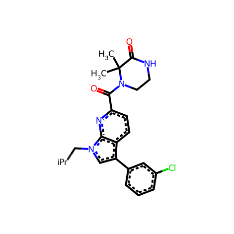 CC(C)Cn1cc(-c2cccc(Cl)c2)c2ccc(C(=O)N3CCNC(=O)C3(C)C)nc21